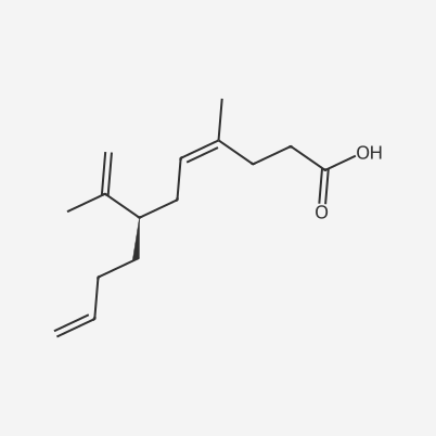 C=CCC[C@H](C/C=C(/C)CCC(=O)O)C(=C)C